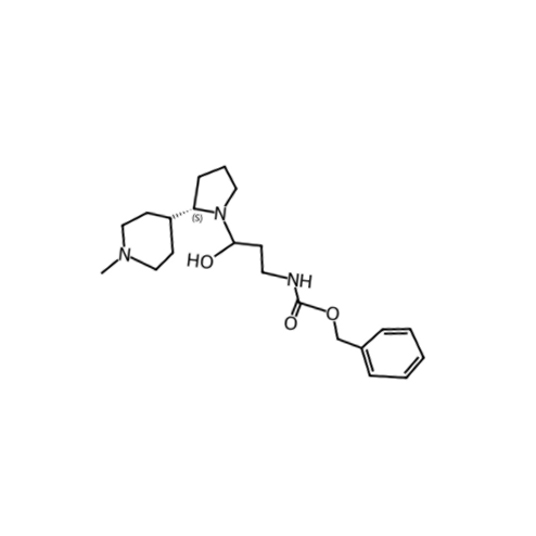 CN1CCC([C@@H]2CCCN2C(O)CCNC(=O)OCc2ccccc2)CC1